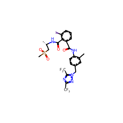 Cc1cc(Cn2nc(C(F)(F)F)nc2C(F)(F)F)ccc1NC(=O)c1cccc(I)c1C(=O)N[C@@H](C)CS(C)(=O)=O